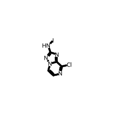 Clc1nccn2nc(NI)nc12